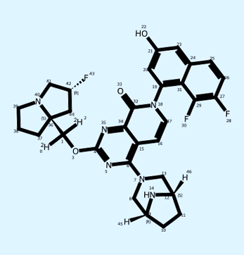 [2H]C([2H])(Oc1nc(N2C[C@H]3CC[C@@H](C2)N3)c2ccn(-c3cc(O)cc4ccc(F)c(F)c34)c(=O)c2n1)[C@@]12CCCN1C[C@H](F)C2